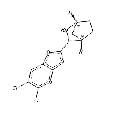 Clc1cc2oc(C3N[C@@H]4CC[C@H]3C4)cc2nc1Cl